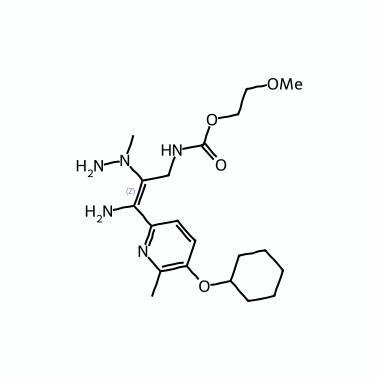 COCCOC(=O)NC/C(=C(/N)c1ccc(OC2CCCCC2)c(C)n1)N(C)N